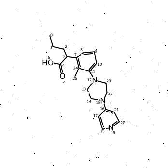 CCCC(C(=O)O)c1cccc(N2CCN(c3ccncc3)CC2)c1C